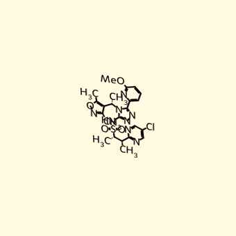 COc1cccc(-c2nnc(NS(=O)(=O)[C@@H](C)[C@H](C)c3ncc(Cl)cn3)n2[C@@H](C)c2c(C)noc2C)n1